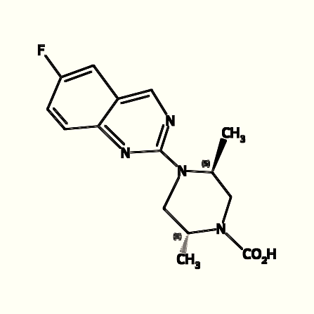 C[C@@H]1CN(c2ncc3cc(F)ccc3n2)[C@@H](C)CN1C(=O)O